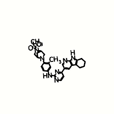 Cc1cc(Nc2nccc(-c3cnc4[nH]c5c(c4c3)CCCC5)n2)ccc1N1CC2CC1CN2S(C)(=O)=O